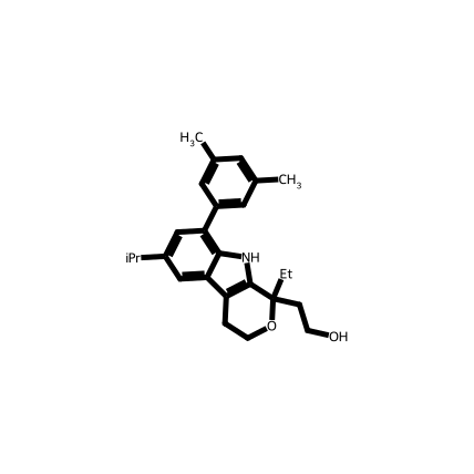 CCC1(CCO)OCCc2c1[nH]c1c(-c3cc(C)cc(C)c3)cc(C(C)C)cc21